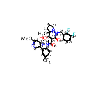 COc1cc(C)c(-c2cc(C(F)(F)F)ccc2NC(=O)C2=C(O)C3(C)CCCN3N(Cc3cccc(F)c3F)C2=O)cn1